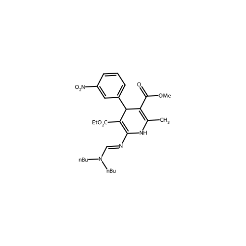 CCCCN(C=NC1=C(C(=O)OCC)C(c2cccc([N+](=O)[O-])c2)C(C(=O)OC)=C(C)N1)CCCC